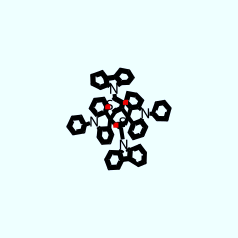 c1ccc(N2c3ccccc3C3(c4ccccc42)c2cc(-n4c5ccccc5c5ccccc54)sc2C2(c4ccccc4N(c4ccccc4)c4ccccc42)c2cc(-n4c5ccccc5c5ccccc54)sc23)cc1